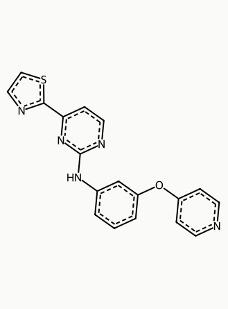 c1cc(Nc2nccc(-c3nccs3)n2)cc(Oc2ccncc2)c1